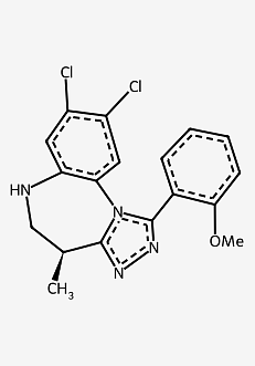 COc1ccccc1-c1nnc2n1-c1cc(Cl)c(Cl)cc1NC[C@@H]2C